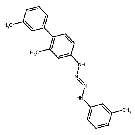 Cc1cccc(NN=NNc2ccc(-c3cccc(C)c3)c(C)c2)c1